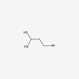 [CH2]C(C)CCC(S)S